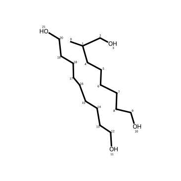 CC(CO)CCCCCCO.OCCCCCCCCCO